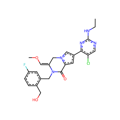 CCNc1ncc(Cl)c(-c2cc3n(c2)CC(=COC)N(Cc2cc(F)ccc2CO)C3=O)n1